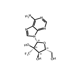 Nc1ncnc2c1ncn2[C@@H]1O[C@H](CO)[C@@H](O)[C@]1(O)C(F)(F)F